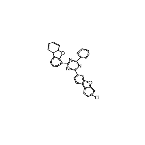 Clc1ccc2c(c1)oc1cc(-c3nc(-c4ccccc4)nc(-c4cccc5c4OC4C=CC=CC54)n3)ccc12